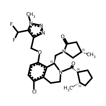 C[C@H]1CC(=O)N(C[C@@H]2c3c(OCc4nnn(C)c4C(F)F)ccc(Cl)c3CCN2C(=O)[C@@H]2CCC[C@@H]2C)C1